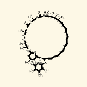 CC1OC(O[C@H]2/C=C/C=C/C=C/C=C/C=C/C=C/C=C/[C@H](C)[C@@H](O)[C@@H](C)[C@H](C)OC(=O)C[C@H](O)CC(=O)C[C@H](O)CC[C@@H](O)[C@H](O)C[C@]3(O)C[C@H](O)[C@@H](C(=O)O)C(C2)O3)C(O)C(N)C1O